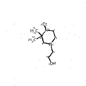 CCN1CCN(CCO)CC1(C)C